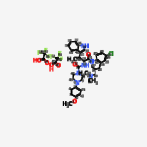 COc1ccc(N2CCN(C(=O)NC(C(=O)N3C[C@@H](CN(C)C)Cc4cc(Cl)ccc43)C(C)c3c[nH]c4ccccc34)CC2)cc1.O=C(O)C(F)(F)F.O=C(O)C(F)(F)F